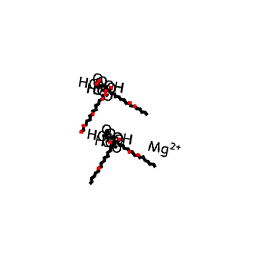 CCCCCCCCCCCCCCCC(=O)C(O)(C(=O)CCCCCCCCCCCCCCC)[C@H](O)[C@H]1OC(=O)C(O)=C1[O-].CCCCCCCCCCCCCCCC(=O)C(O)(C(=O)CCCCCCCCCCCCCCC)[C@H](O)[C@H]1OC(=O)C(O)=C1[O-].[Mg+2]